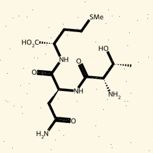 CSCC[C@H](NC(=O)[C@H](CC(N)=O)NC(=O)[C@@H](N)[C@@H](C)O)C(=O)O